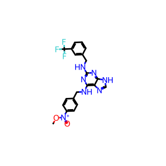 CO[N+](=O)c1ccc(CNc2nc(NCc3cccc(C(F)(F)F)c3)nc3[nH]cnc23)cc1